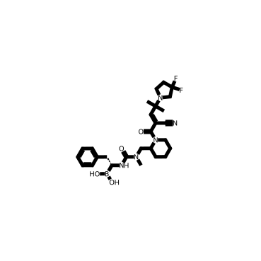 CN(CC1CCCCN1C(=O)C(C#N)=CC(C)(C)N1CCC(F)(F)C1)C(=O)N[C@@H](Cc1ccccc1)B(O)O